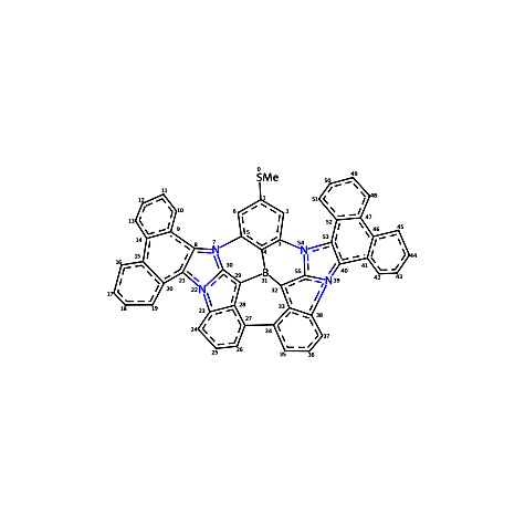 CSc1cc2c3c(c1)-n1c4c5ccccc5c5ccccc5c4n4c5cccc6c5c(c14)B3c1c3c-6cccc3n3c4c5ccccc5c5ccccc5c4n-2c13